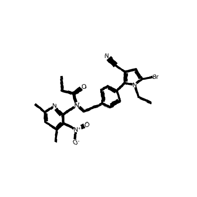 CCC(=O)N(Cc1ccc(-c2c(C#N)cc(Br)n2CC)cc1)c1nc(C)cc(C)c1[N+](=O)[O-]